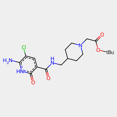 CC(C)(C)OC(=O)CN1CCC(CNC(=O)c2cc(Cl)c(N)[nH]c2=O)CC1